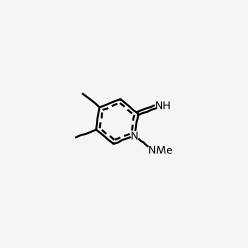 CNn1cc(C)c(C)cc1=N